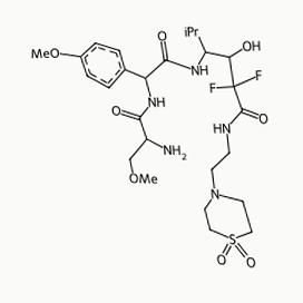 COCC(N)C(=O)NC(C(=O)NC(C(C)C)C(O)C(F)(F)C(=O)NCCN1CCS(=O)(=O)CC1)c1ccc(OC)cc1